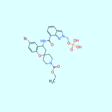 CCOC(=O)N1CCC2(CC1)CC(NC(=O)c1cccc3cn(COP(=O)(O)O)nc13)c1cc(Br)ccc1O2